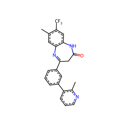 Cc1cc2c(cc1C(F)(F)F)NC(=O)CC(c1cccc(-c3cccnc3C)c1)=N2